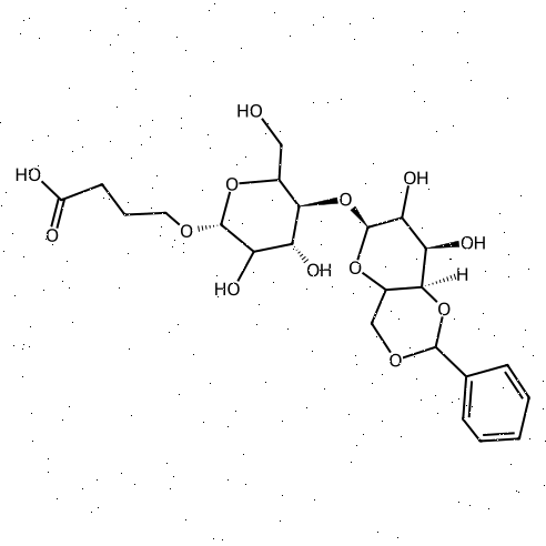 O=C(O)CCCO[C@@H]1OC(CO)[C@@H](O[C@@H]2OC3COC(c4ccccc4)O[C@@H]3[C@H](O)C2O)[C@H](O)C1O